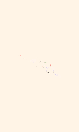 COCCCNC[C@H]1O[C@@H](n2ccc(N)nc2=O)C(F)(F)[C@@H]1O